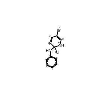 ClC1(Nc2ccccc2)N=CC(Br)=CN1